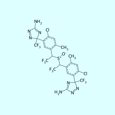 Cc1cc(Cl)c(C2(C(F)(F)F)N=NC(N)=N2)cc1C([S+]([O-])C(c1cc(C2(C(F)(F)F)N=NC(N)=N2)c(Cl)cc1C)C(F)(F)F)C(F)(F)F